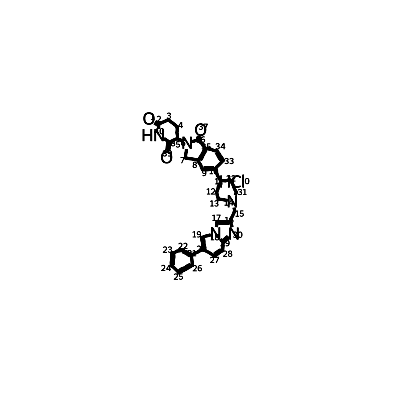 Cl.O=C1CCC(N2Cc3cc(C4CCN(Cc5cn6cc(-c7ccccc7)ccc6n5)CC4)ccc3C2=O)C(=O)N1